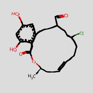 C[C@@H]1C/C=C/CCC(Cl)CC(C=O)Cc2cc(O)cc(O)c2C(=O)O1